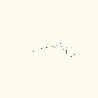 CCCCCCCCCCCCCCCCOCCC[N+](CCCCCCCCCC)(CCCCCCCCCC)CC(=O)C1CCCCCCCN1